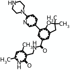 Cc1cc(C)c(CNC(=O)c2cc3c(c(-c4ccc(N5CCNCC5)nc4)c2)OC(C)(C)C3)c(=O)[nH]1